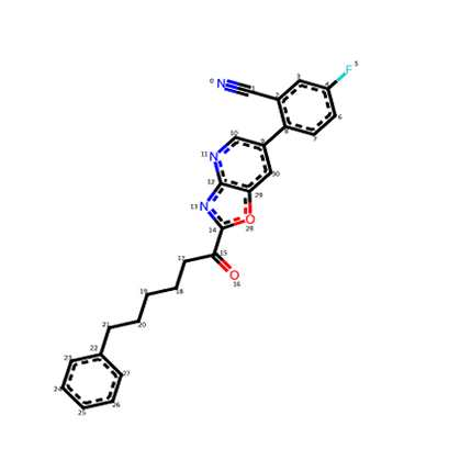 N#Cc1cc(F)ccc1-c1cnc2nc(C(=O)CCCCCc3ccccc3)oc2c1